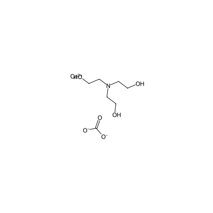 O=C([O-])[O-].OCCN(CCO)CCO.[Ca+2]